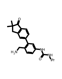 CC(C)NC(=O)Nc1ccc(CN)c(-c2ccc3c(c2)CC(C)(C)C3=O)c1